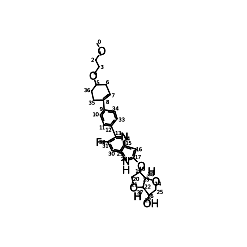 COCCOC1CC=C(c2ccc(-c3nc4cc(O[C@@H]5CO[C@H]6[C@@H]5OC[C@H]6O)[nH]c4cc3F)cc2)CC1